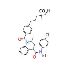 CCN(C(=O)C1CC(C)N(C(=O)c2ccc(CCCC(C)(C)C(=O)O)cc2)c2ccccc21)c1ccc(Cl)cc1